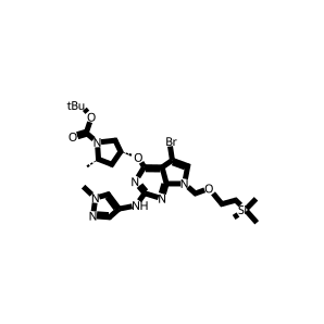 C[C@H]1C[C@@H](Oc2nc(Nc3cnn(C)c3)nc3c2c(Br)cn3COCC[Si](C)(C)C)CN1C(=O)OC(C)(C)C